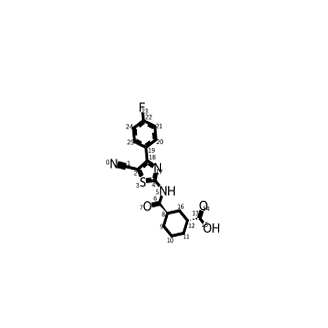 N#Cc1sc(NC(=O)[C@@H]2CCC[C@@H](C(=O)O)C2)nc1-c1ccc(F)cc1